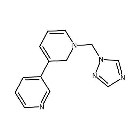 C1=CN(Cn2cncn2)CC(c2cccnc2)=C1